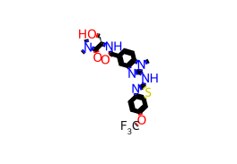 CN(C)C(=O)[C@H](CO)NC(=O)c1ccc2c(c1)nc(Nc1nc3ccc(OC(F)(F)F)cc3s1)n2C